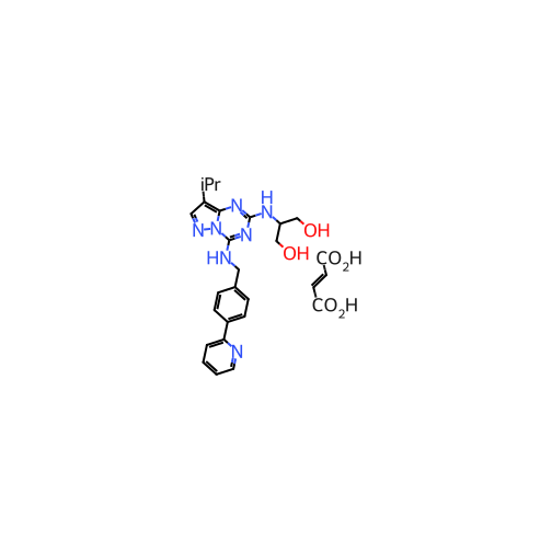 CC(C)c1cnn2c(NCc3ccc(-c4ccccn4)cc3)nc(NC(CO)CO)nc12.O=C(O)/C=C/C(=O)O